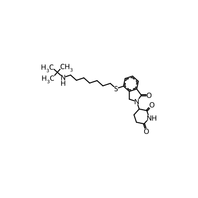 CC(C)(C)NCCCCCCCSc1cccc2c1CN(C1CCC(=O)NC1=O)C2=O